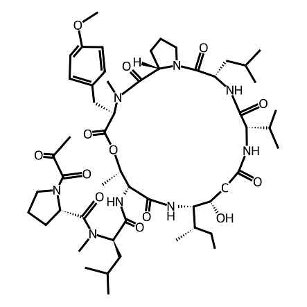 CC[C@H](C)[C@@H]1NC(=O)[C@H](NC(=O)[C@@H](CC(C)C)N(C)C(=O)[C@@H]2CCCN2C(=O)C(C)=O)[C@H](C)OC(=O)[C@H](Cc2ccc(OC)cc2)N(C)C(=O)[C@@H]2CCCN2C(=O)[C@H](CC(C)C)NC(=O)[C@H](C(C)C)NC(=O)C[C@@H]1O